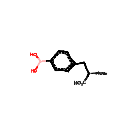 CN[C@@H](Cc1ccc(B(O)O)cc1)C(=O)O